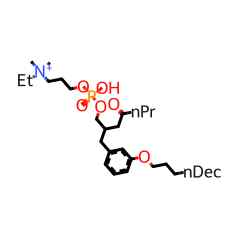 CCCCCCCCCCCCCOc1cccc(CC(COP(=O)(O)OCCC[N+](C)(C)CC)CC(=O)CCC)c1